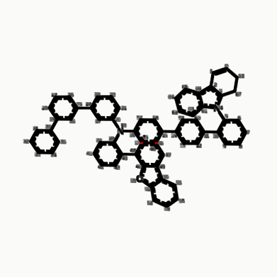 C1=Cc2c(n(-c3ccccc3-c3ccc(-c4ccc(N(c5cccc(-c6cccc(-c7ccccc7)c6)c5)c5ccccc5-c5cccc6c5oc5ccccc56)cc4)cc3)c3ccccc23)CC1